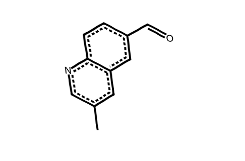 Cc1cnc2ccc(C=O)cc2c1